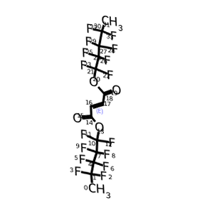 CC(F)(F)C(F)(F)C(F)(F)C(F)(F)OC(=O)/C=C/C(=O)OC(F)(F)C(F)(F)C(F)(F)C(C)(F)F